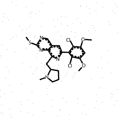 COc1cc(OC)c(Cl)c(-c2cc3cnc(SC)nc3c(CC3CCCN3C)n2)c1Cl